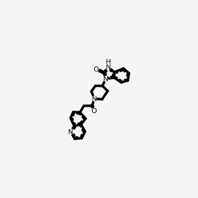 O=C(Cc1ccc2ncccc2c1)N1CCC(n2c(=O)[nH]c3ccccc32)CC1